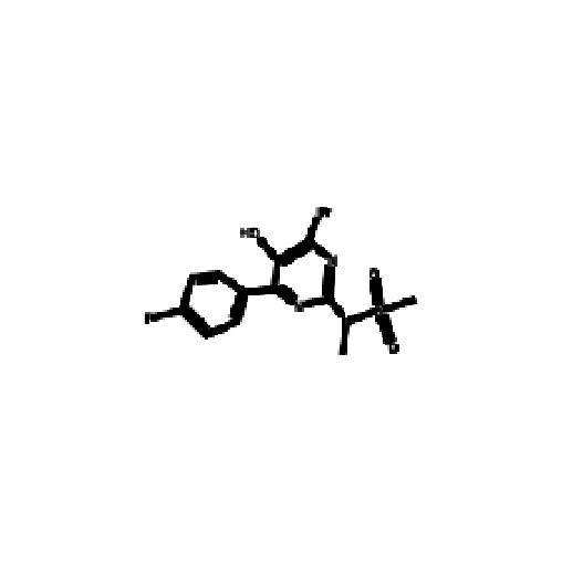 CC(C)c1nc(N(C)S(C)(=O)=O)nc(-c2ccc(F)cc2)c1O